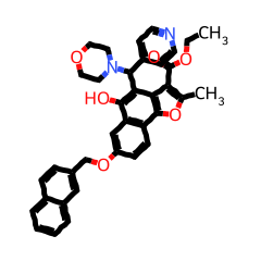 CCOC(=O)c1c(C)oc2c1c(C(c1ccncc1)N1CCOCC1)c(O)c1cc(OCc3ccc4ccccc4c3)ccc12